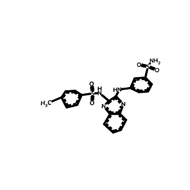 Cc1ccc(S(=O)(=O)Nc2nc3ccccc3nc2Nc2cccc(S(N)(=O)=O)c2)cc1